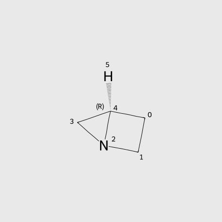 C1CN2C[C@@H]12